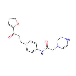 O=C(CN1C=CNCC1)Nc1ccc(CCC(=O)C2=CCCO2)cc1